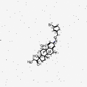 C[C@H]1C[C@H]2[C@@H]3C[C@H](F)C4=C/C(=N/OCc5cc(Br)cs5)C=C[C@]4(C)[C@@]3(F)[C@@H](O)C[C@]2(C)[C@@]1(O)C(=O)CO